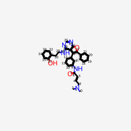 CN(C)C/C=C/C(=O)Nc1cccc(-c2c(-c3ccccc3)oc3ncnc(NCCc4ccccc4O)c23)c1